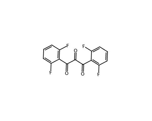 O=C(C(=O)c1c(F)cccc1F)C(=O)c1c(F)cccc1F